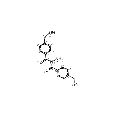 CC(C)Cc1ccc(C(=O)N(N)C(=O)c2ccc(CO)cc2)cc1